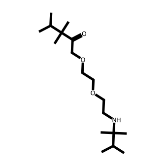 CC(C)C(C)(C)NCCOCCOCC(=O)C(C)(C)C(C)C